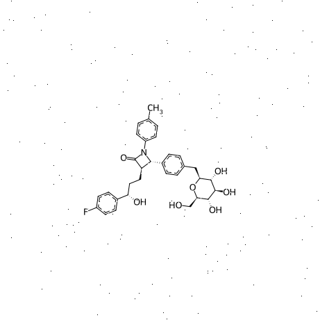 Cc1ccc(N2C(=O)[C@H](CC[C@H](O)c3ccc(F)cc3)[C@H]2c2ccc(C[C@@H]3O[C@H](CO)[C@@H](O)[C@H](O)[C@H]3O)cc2)cc1